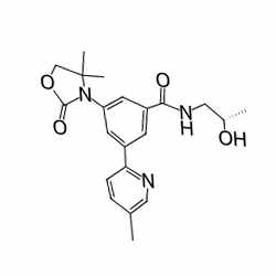 Cc1ccc(-c2cc(C(=O)NC[C@H](C)O)cc(N3C(=O)OCC3(C)C)c2)nc1